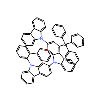 c1ccc(-c2ccccc2-n2c3ccccc3c3ccc(-n4c5ccccc5c5c([Si](c6ccccc6)(c6ccccc6)c6ccccc6)cc(-n6c7ccccc7c7ccccc76)cc54)cc32)cc1